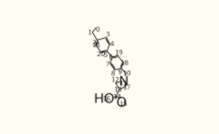 CCc1ccc(-c2ccc(CN3CC(C(=O)O)C3)cc2)cc1